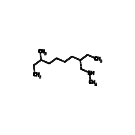 CCC(C)CCCCC(CC)CNC